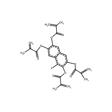 C=C(C)C(=O)Oc1cc2cc(OC(=O)C(=C)C)c(OC(=O)C(=C)C)c(F)c2cc1OC(=O)C(=C)C